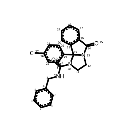 O=C(NCc1ccccc1)N1CCN2C(=O)c3ccccc3C12c1ccc(Cl)cc1